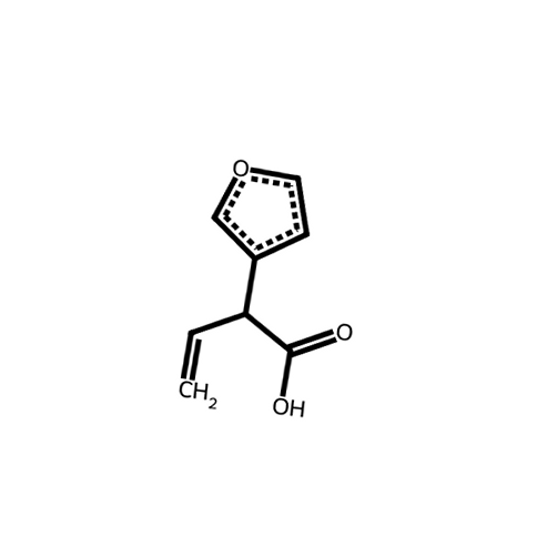 C=CC(C(=O)O)c1ccoc1